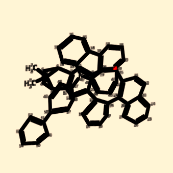 CC1(C)C2C=CC1c1cc3c(cc12)-c1ccccc1-c1c(ccc2ccccc12)-c1cccc(-c2ccccc2N(c2ccccc2)c2ccc(-c4ccccc4)cc2)c1-3